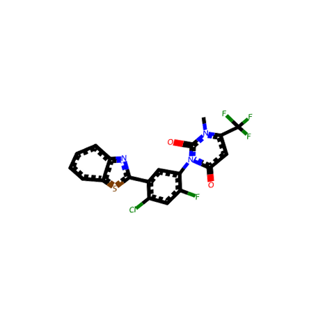 Cn1c(C(F)(F)F)cc(=O)n(-c2cc(-c3nc4ccccc4s3)c(Cl)cc2F)c1=O